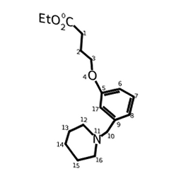 CCOC(=O)CCCOc1cccc(CN2CCCCC2)c1